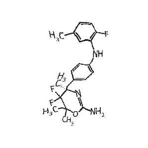 Cc1ccc(F)c(Nc2ccc([C@@]3(C)N=C(N)OC(C)(C)C3(F)F)cc2)c1